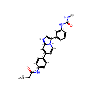 CCNC(=O)Nc1cccc(-c2cnc3cc(-c4ccc(NC(=O)COC)cc4)ccn23)c1